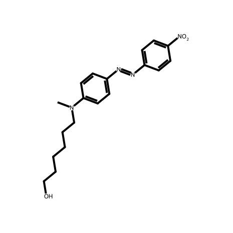 CN(CCCCCCO)c1ccc(N=Nc2ccc([N+](=O)[O-])cc2)cc1